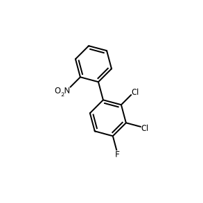 O=[N+]([O-])c1ccccc1-c1ccc(F)c(Cl)c1Cl